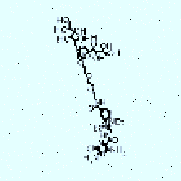 CCn1c(CNC(=O)c2nc(Cl)c(N)nc2N)[n+](CC)c2ccc(C(=O)NCCOCCOCCOCCN(CC(O)C(O)C(O)C(O)CO)CC(O)C(O)C(O)C(O)CO)cc21